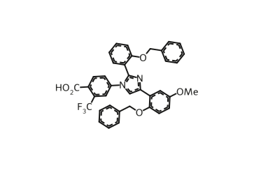 COc1ccc(OCc2ccccc2)c(-c2cn(-c3ccc(C(=O)O)c(C(F)(F)F)c3)c(-c3ccccc3OCc3ccccc3)n2)c1